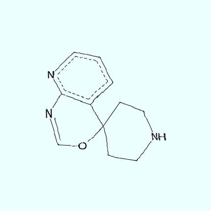 C1=Nc2ncccc2C2(CCNCC2)O1